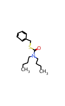 CCCCN(CCCC)C(=O)SCc1ccccc1